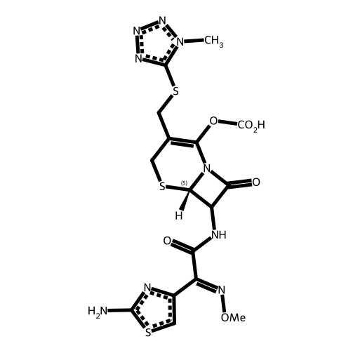 CON=C(C(=O)NC1C(=O)N2C(OC(=O)O)=C(CSc3nnnn3C)CS[C@@H]12)c1csc(N)n1